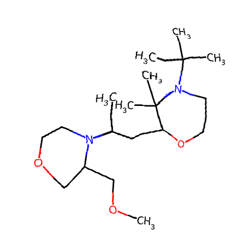 COCC1COCCN1C(C)CC1OCCN(C(C)(C)C)C1(C)C